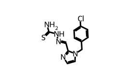 NC(=S)NN=Cc1nccn1Cc1ccc(Cl)cc1